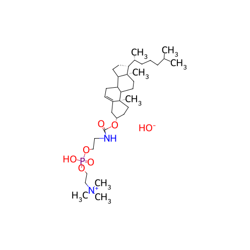 CC(C)CCC[C@@H](C)[C@H]1CCC2C3CC=C4C[C@@H](OC(=O)NCCOP(=O)(O)OCC[N+](C)(C)C)CC[C@]4(C)C3CC[C@@]21C.[OH-]